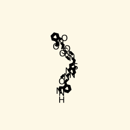 O=C1c2ccccc2C(=O)N1CCS(=O)(=O)N1CCN(Cc2cc3nc(N4CCOC(c5cccc6[nH]ncc56)C4)ncc3s2)CC1